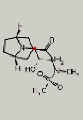 CN(C[C@H](O)CN1[C@@H]2CC[C@H]1C[C@H](C(N)=O)C2)S(C)(=O)=O